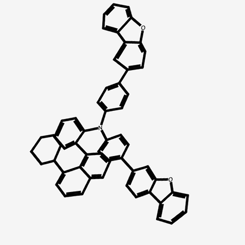 c1ccc(N(c2ccc(-c3ccc4c(c3)oc3ccccc34)cc2)c2ccc(-c3ccc4oc5ccccc5c4c3)cc2)c(-c2cccc3cccc(C4CCCCC4)c23)c1